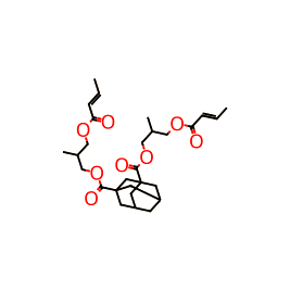 CC=CC(=O)OCC(C)COC(=O)C12CC3CC(C1)CC(C(=O)OCC(C)COC(=O)C=CC)(C3)C2